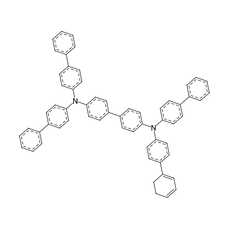 C1=CCCC(c2ccc(N(c3ccc(-c4ccccc4)cc3)c3ccc(-c4ccc(N(c5ccc(-c6ccccc6)cc5)c5ccc(-c6ccccc6)cc5)cc4)cc3)cc2)=C1